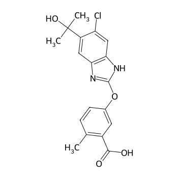 Cc1ccc(Oc2nc3cc(C(C)(C)O)c(Cl)cc3[nH]2)cc1C(=O)O